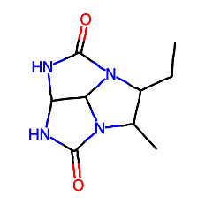 CCC1C(C)N2C(=O)NC3NC(=O)N1C32